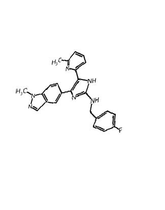 Cc1cccc(-c2[nH]c(NCc3ccc(F)cc3)nc2-c2ccc3c(cnn3C)c2)n1